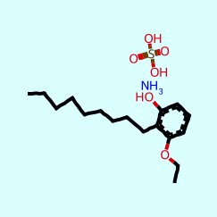 CCCCCCCCCc1c(O)cccc1OCC.N.O=S(=O)(O)O